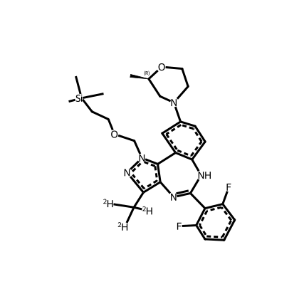 [2H]C([2H])([2H])c1nn(COCC[Si](C)(C)C)c2c1N=C(c1c(F)cccc1F)Nc1ccc(N3CCO[C@H](C)C3)cc1-2